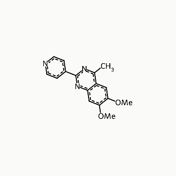 COc1cc2nc(-c3ccncc3)nc(C)c2cc1OC